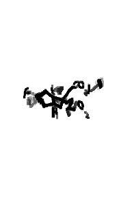 O=C(O)C[C@@]1(C[N+](=O)[O-])C[C@H]2C[C@H](F)C[C@H]21